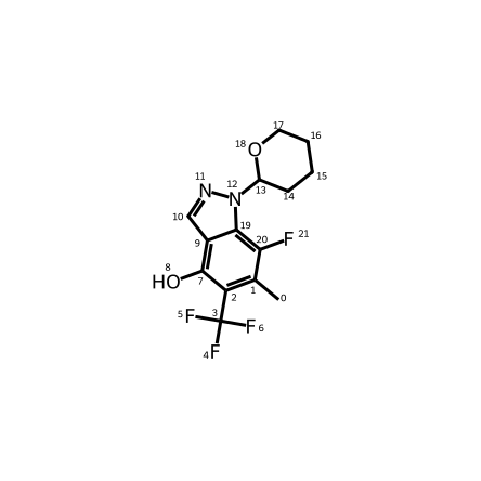 Cc1c(C(F)(F)F)c(O)c2cnn(C3CCCCO3)c2c1F